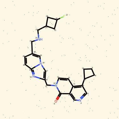 O=c1c2cncc(C3CCC3)c2ccn1Cc1cn2cc(CNCC3CC(F)C3)ccc2n1